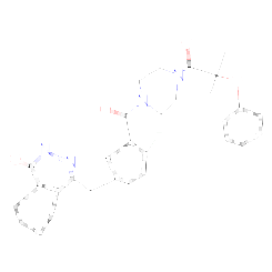 CC(C)(Oc1ccccc1)C(=O)N1CCN(C(=O)c2cc(Cc3n[nH]c(=O)c4ccccc34)ccc2F)CC1